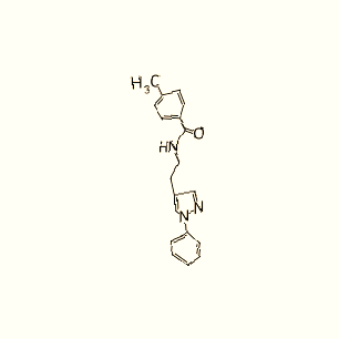 Cc1ccc(C(=O)NCCc2cnn(-c3ccccc3)c2)cc1